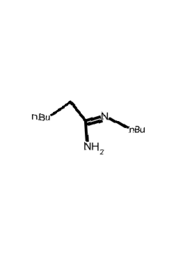 CCCCC/C(N)=N/CCCC